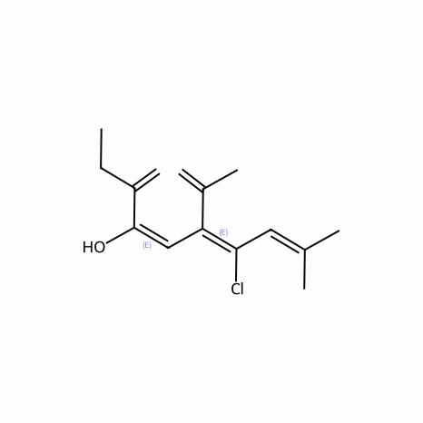 C=C(CC)/C(O)=C\C(C(=C)C)=C(/Cl)C=C(C)C